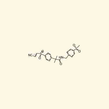 CC(C)(C(=O)NCc1ccc(S(C)(=O)=O)cc1)c1ccc(S(=O)(=O)/C=C/C#N)cc1